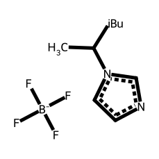 CCC(C)C(C)n1ccnc1.F[B-](F)(F)F